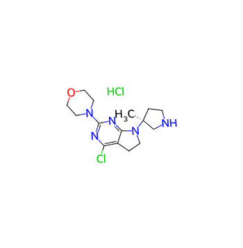 C[C@]1(N2CCc3c(Cl)nc(N4CCOCC4)nc32)CCNC1.Cl